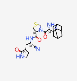 N#C[C@H](C[C@@H]1CCNC1=O)NC(=O)[C@@H]1CSCN1C(=O)[C@@H](N)C12CC3CC(CC(C3)C1)C2